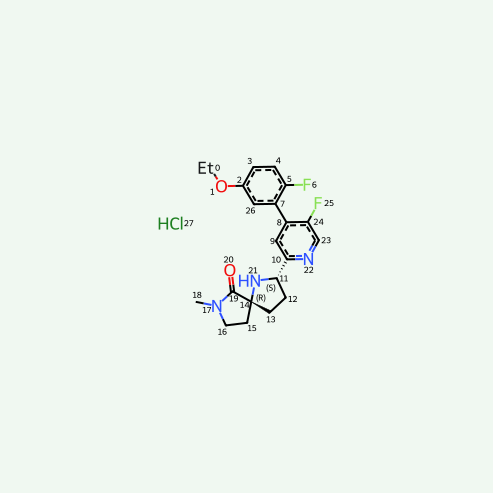 CCOc1ccc(F)c(-c2cc([C@@H]3CC[C@]4(CCN(C)C4=O)N3)ncc2F)c1.Cl